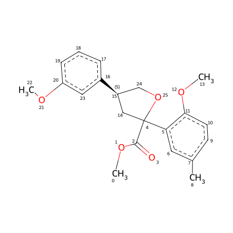 COC(=O)C1(c2cc(C)ccc2OC)C[C@@H](c2cccc(OC)c2)CO1